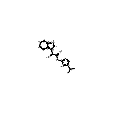 CC(C)c1cnc(NC(=O)C(=O)c2c[nH]c3ccccc23)s1